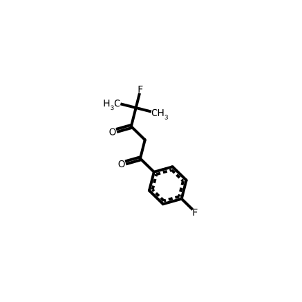 CC(C)(F)C(=O)CC(=O)c1ccc(F)cc1